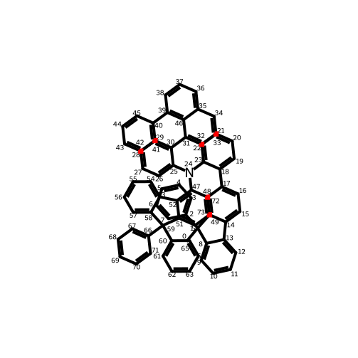 CC1(c2ccccc2)c2ccccc2-c2ccc(-c3ccccc3N(c3ccccc3-c3cccc4cccc(-c5ccccc5)c34)c3cccc4c3-c3ccccc3C4(c3ccccc3)c3ccccc3)cc21